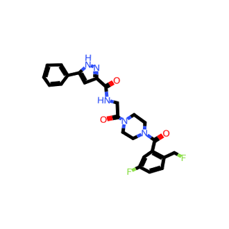 O=C(NCC(=O)N1CCN(C(=O)c2cc(F)ccc2CF)CC1)c1cc(-c2ccccc2)[nH]n1